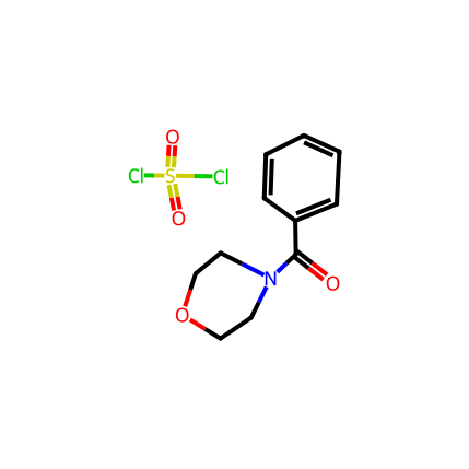 O=C(c1ccccc1)N1CCOCC1.O=S(=O)(Cl)Cl